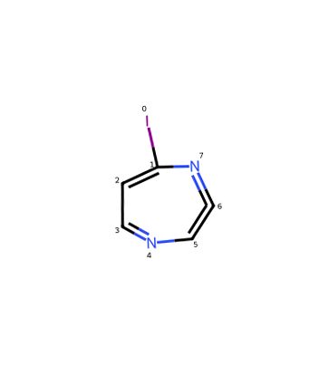 IC1=CC=NC=C=N1